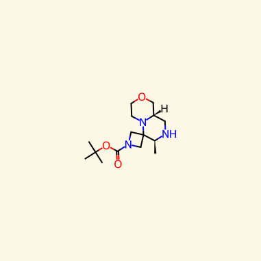 C[C@@H]1NC[C@H]2COCCN2C12CN(C(=O)OC(C)(C)C)C2